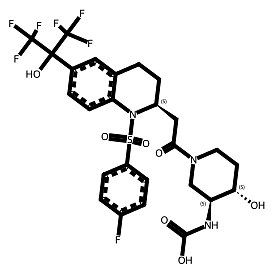 O=C(O)N[C@H]1CN(C(=O)C[C@@H]2CCc3cc(C(O)(C(F)(F)F)C(F)(F)F)ccc3N2S(=O)(=O)c2ccc(F)cc2)CC[C@@H]1O